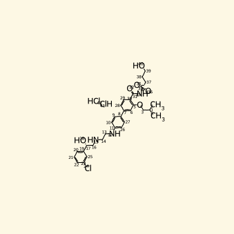 CC(C)COc1cc(-c2ccc(NCCNC[C@@H](O)c3cccc(Cl)c3)cc2)ccc1C(=O)NS(=O)(=O)CCCO.Cl.Cl